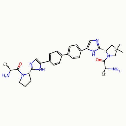 CC[C@H](N)C(=O)N1CCC[C@H]1c1ncc(-c2ccc(-c3ccc(-c4cnc([C@@H]5C[Si](C)(C)CN5C(=O)[C@@H](N)CC)[nH]4)cc3)cc2)[nH]1